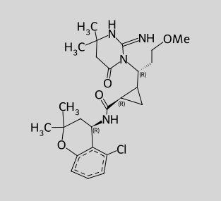 COCC[C@H](C1C[C@H]1C(=O)N[C@@H]1CC(C)(C)Oc2cccc(Cl)c21)N1C(=N)NC(C)(C)CC1=O